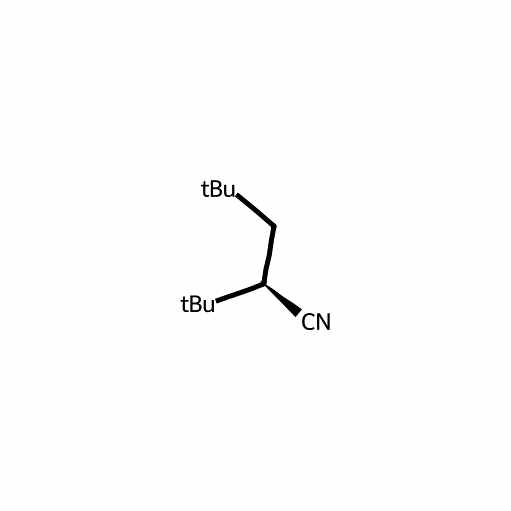 CC(C)(C)C[C@@H](C#N)C(C)(C)C